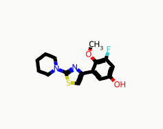 COc1c(F)cc(O)cc1-c1csc(N2CCCCC2)n1